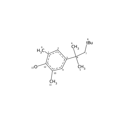 Cc1cc(C(C)(C)CC(C)(C)C)cc(C)c1[O]